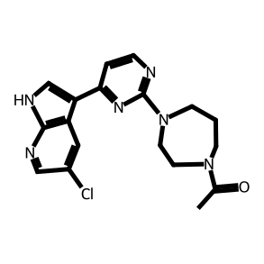 CC(=O)N1CCCN(c2nccc(-c3c[nH]c4ncc(Cl)cc34)n2)CC1